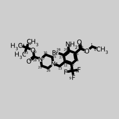 CCOC(=O)c1cc(C(F)(F)F)c(CN2CCN(C(=O)OC(C)(C)C)CC2)c(Br)c1N